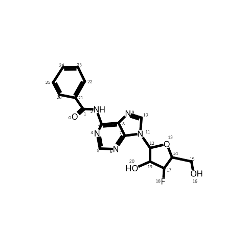 O=C(Nc1ncnc2c1ncn2C1OC(CO)C(F)C1O)c1ccccc1